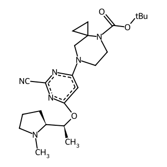 C[C@H](Oc1cc(N2CCN(C(=O)OC(C)(C)C)C3(CC3)C2)nc(C#N)n1)[C@@H]1CCCN1C